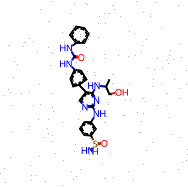 CC(CO)Nc1nc(Nc2cccc([SH](=N)=O)c2)ncc1-c1ccc(NC(=O)Nc2ccccc2)cc1